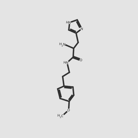 COc1ccc(CCNC(=O)C(N)Cc2c[nH]cn2)cc1